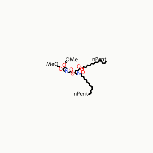 CCCCC/C=C\C/C=C\CCCCCCCCOC(=O)C1CC(OC(=O)CN2C[C@H](OCCOC)[C@H](OCCOC)C2)CN1C(=O)CCCCCCC/C=C\C/C=C\CCCCC